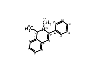 CC1c2ccccc2C=C(c2ccccc2)N1C